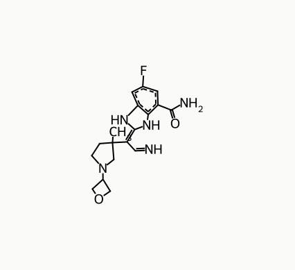 CC1(/C(C=N)=C2\Nc3cc(F)cc(C(N)=O)c3N2)CCN(C2COC2)C1